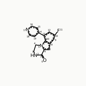 O=C1NCCn2c1cc1cc(F)cc(-c3ccncc3)c12